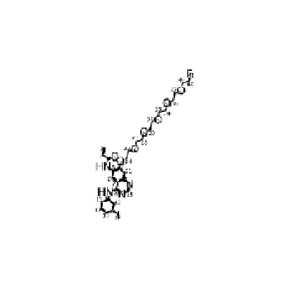 C=CC(=O)Nc1cc2c(Nc3cccc(I)c3)ncnc2cc1OCCOCCOCCOCCOCCOCCF